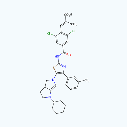 C/C(=C\c1c(Cl)cc(C(=O)Nc2nc(-c3cccc(C(F)(F)F)c3)c(N3C=C4C(CCN4C4CCCCC4)C3)s2)cc1Cl)C(=O)O